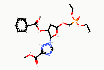 CCOP(=O)(COC1CC(OC(=O)c2ccccc2)C(n2cnc(C(=O)OC)n2)O1)OCC